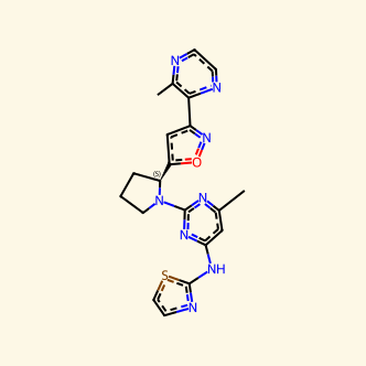 Cc1cc(Nc2nccs2)nc(N2CCC[C@H]2c2cc(-c3nccnc3C)no2)n1